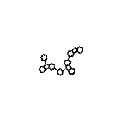 c1ccc(-n2c3ccccc3c3cc(-c4cccc(-n5c6ccccc6c6cc(-c7ccc8oc9ccccc9c8c7)ccc65)c4)ccc32)cc1